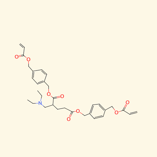 C=CC(=O)OCc1ccc(COC(=O)CCC(CN(CC)CC)C(=O)OCc2ccc(COC(=O)C=C)cc2)cc1